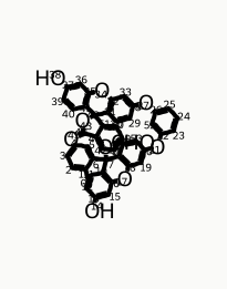 Cc1ccccc1C1(OC=O)c2ccc(O)cc2Oc2cc(Oc3cccc(Oc4ccc5c(c4)Oc4cc(O)ccc4C54OC(=O)c5ccccc54)c3)ccc21